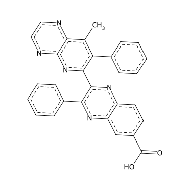 Cc1c(-c2ccccc2)c(-c2nc3ccc(C(=O)O)cc3nc2-c2ccccc2)nc2nccnc12